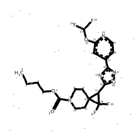 CCCCOC(=O)N1CCC2(CC1)C(c1nc(-c3ccnc(OC(F)F)c3)no1)C2(F)F